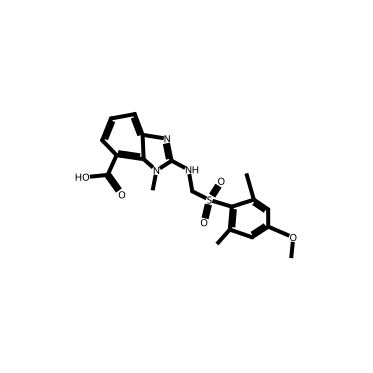 COc1cc(C)c(S(=O)(=O)CNc2nc3cccc(C(=O)O)c3n2C)c(C)c1